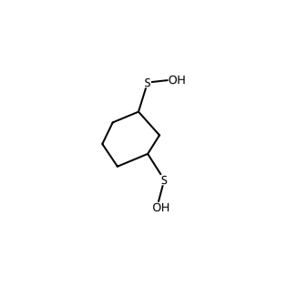 OSC1CCCC(SO)C1